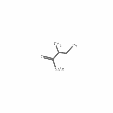 CNC(=O)C(C)CC(C)C